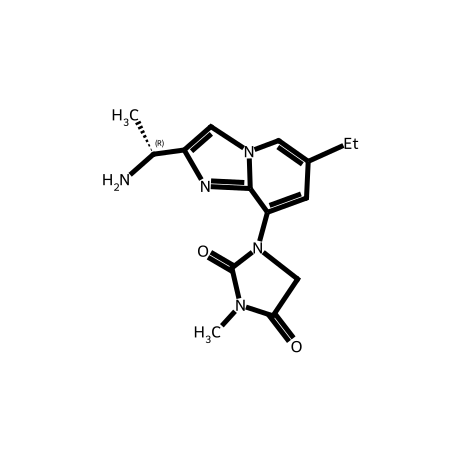 CCc1cc(N2CC(=O)N(C)C2=O)c2nc([C@@H](C)N)cn2c1